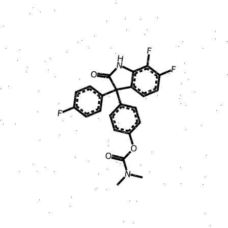 CN(C)C(=O)Oc1ccc(C2(c3ccc(F)cc3)C(=O)Nc3c2ccc(F)c3F)cc1